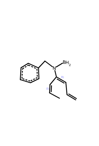 BN(Cc1ccccc1)C(/C=C\C)=C/C=C